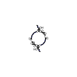 C/C=C/[C@H](O)C(C)(C)[C@@H]1C\C=C/C=C\C=C/[C@H](OC)Cc2nc(co2)C(=O)O[C@H](C(C)(C)[C@@H](O)/C=C/C)C\C=C/C=C\C=C/[C@H](OC)Cc2nc(co2)C(=O)O1